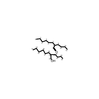 CCCCCCC(C=O)CCCC.CCCCCCC(CO)CCCC